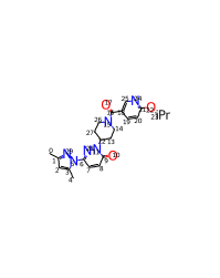 Cc1cc(C)n(-c2ccc(=O)n(C3CCN(C(=O)c4ccc(OC(C)C)nc4)CC3)n2)n1